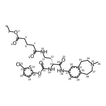 CCOC(=O)CCCC(=O)NCC[C@@H](NC(=O)Oc1ccc(Cl)s1)C(=O)Nc1ccc2c(c1)CCN(C)CC2